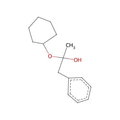 CC(O)(Cc1ccccc1)OC1CCCCC1